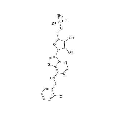 NS(=O)(=O)OCC1OC(c2csc3c(NCc4ccccc4Cl)ncnc23)C(O)C1O